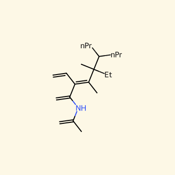 C=C/C(C(=C)NC(=C)C)=C(/C)C(C)(CC)C(CCC)CCC